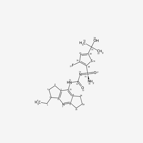 CCC1CCc2c1nc1c(c2NC(=O)N=[S@@](N)(=O)c2sc(C(C)(C)O)cc2F)CCC1